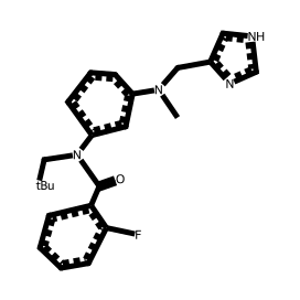 CN(Cc1c[nH]cn1)c1cccc(N(CC(C)(C)C)C(=O)c2ccccc2F)c1